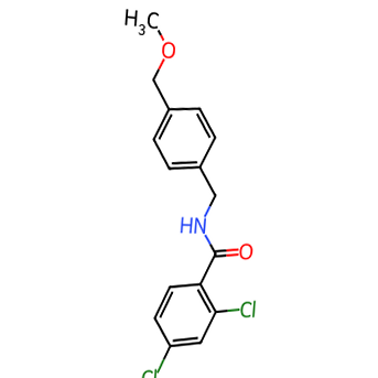 COCc1ccc(CNC(=O)c2ccc(Cl)cc2Cl)cc1